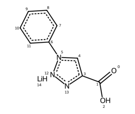 O=C(O)c1cn(-c2ccccc2)nn1.[LiH]